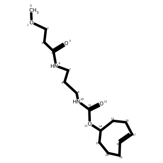 COCCC(=O)NCCCNC(=O)OC1CC/C=C/CCC1